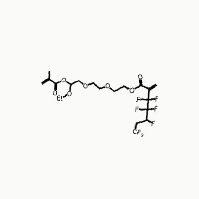 C=C(C)C(=O)OC(COCCOCCOC(=O)C(=C)C(F)(F)C(F)(F)C(F)CC(F)(F)F)OCC